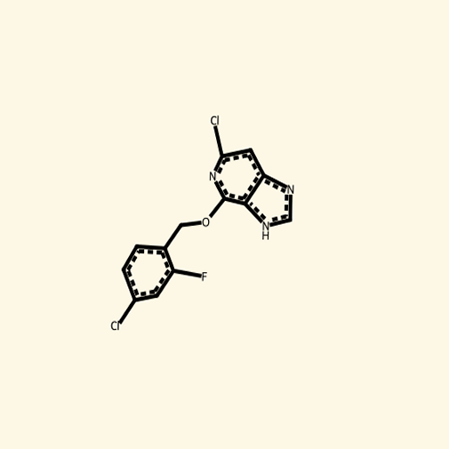 Fc1cc(Cl)ccc1COc1nc(Cl)cc2nc[nH]c12